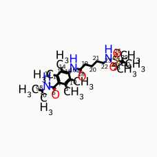 Cc1c(C)c(C(=O)NC(C)C)c(C)c(C)c1NC(=O)CCCCNS(=O)(=O)C(C)(C)C